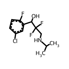 CC(C)NCC(F)(F)C(O)c1cc(Cl)ccc1F